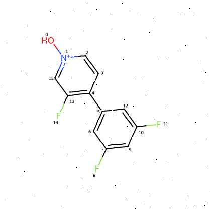 O[n+]1ccc(-c2cc(F)cc(F)c2)c(F)c1